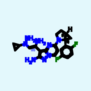 N/C(=C\N(N)C1CC1)c1c(N)nn2ccc(N3CC[C@H]4C[C@]43c3cc(F)ccc3F)nc12